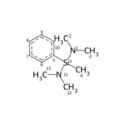 CN(C)[Si](C)(c1ccccc1)N(C)C